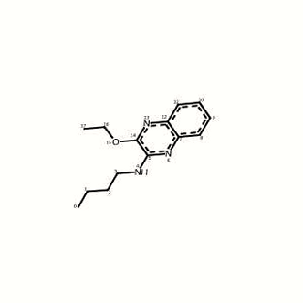 CCCCNc1nc2ccccc2nc1OCC